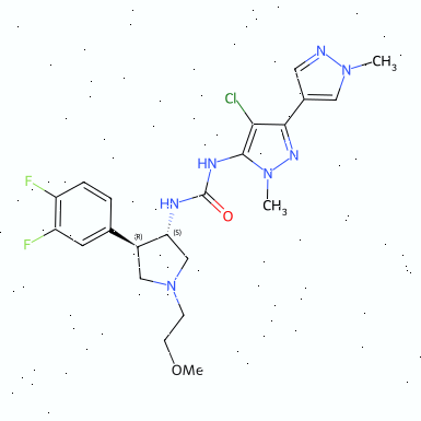 COCCN1C[C@@H](NC(=O)Nc2c(Cl)c(-c3cnn(C)c3)nn2C)[C@H](c2ccc(F)c(F)c2)C1